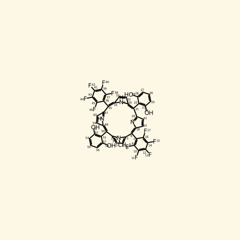 Cn1c2ccc1c(-c1c(F)c(F)c(F)c(F)c1F)c1nc(c(-c3c(O)cccc3O)c3ccc([nH]3)c(-c3c(F)c(F)c(F)c(F)c3F)c3nc(c2-c2c(O)cccc2O)C=C3)C=C1